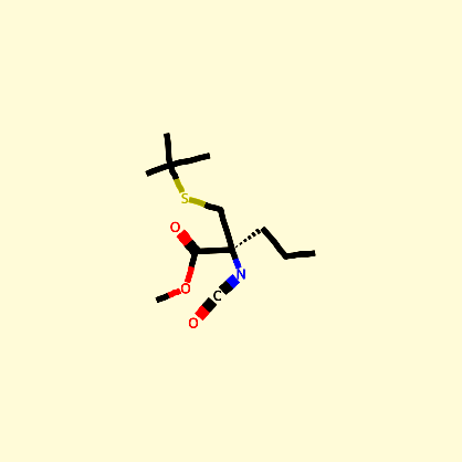 CCC[C@](CSC(C)(C)C)(N=C=O)C(=O)OC